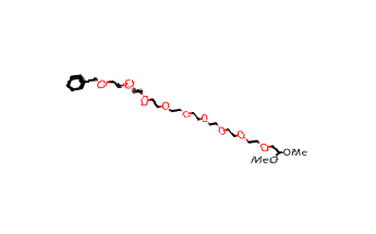 COC(COCCOCCOCCOCCOCCOCCOCCOCCOCc1ccccc1)OC